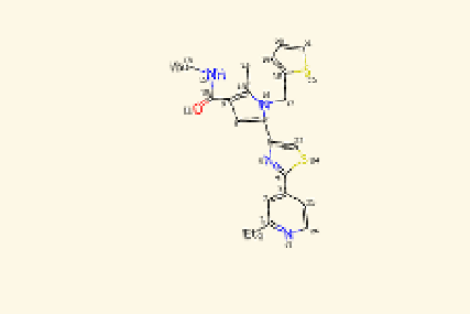 CCc1cc(-c2nc(-c3cc(C(=O)NC(C)CC)c(C)n3Cc3cccs3)cs2)ccn1